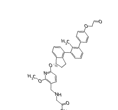 COc1nc(O[C@H]2CCc3c(-c4cccc(-c5ccc(OCC=O)cc5)c4C)cccc32)ccc1CNCC(=O)O